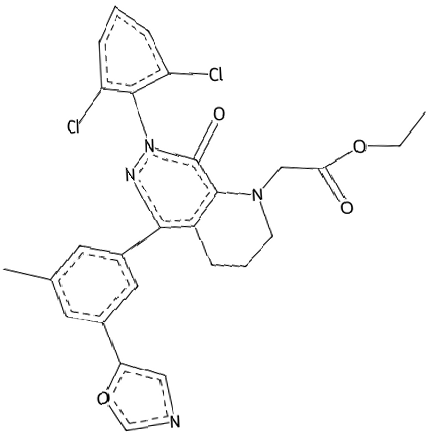 CCOC(=O)CN1CCCc2c(-c3cc(C)cc(-c4cnco4)c3)nn(-c3c(Cl)cccc3Cl)c(=O)c21